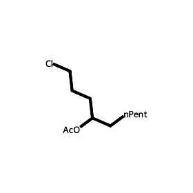 CCCCCCC(CCCCl)OC(C)=O